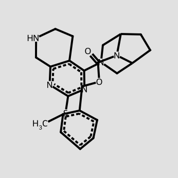 CSc1nc2c(c(N3CC4CCC(C3)N4C(=O)OCc3ccccc3)n1)CCNC2